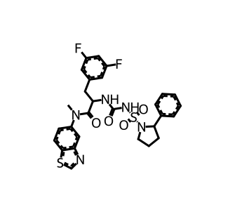 CN(C(=O)C(Cc1cc(F)cc(F)c1)NC(=O)NS(=O)(=O)N1CCCC1c1ccccc1)c1ccc2scnc2c1